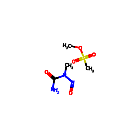 CN(N=O)C(N)=O.COS(C)(=O)=O